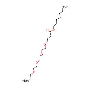 CCCCCCCCCCCCCCCCOC(=O)CCCOCCOCCOCCOCCCCCCCCCCCC